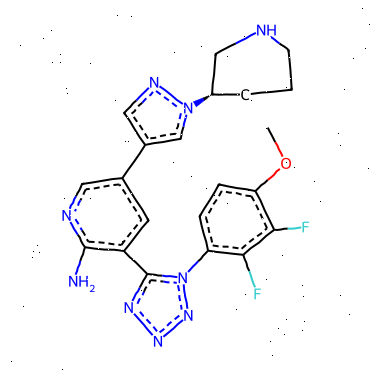 COc1ccc(-n2nnnc2-c2cc(-c3cnn([C@@H]4CCCNC4)c3)cnc2N)c(F)c1F